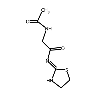 CC(=O)NCC(=O)N=C1NCCS1